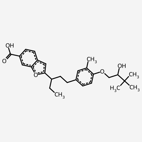 CCC(CCc1ccc(OCC(O)C(C)(C)C)c(C)c1)c1cc2ccc(C(=O)O)cc2o1